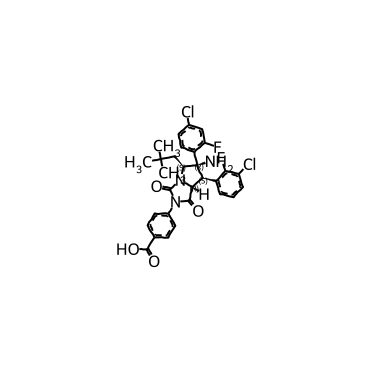 CC(C)(C)C[C@@H]1N2C(=O)N(c3ccc(C(=O)O)cc3)C(=O)[C@H]2[C@H](c2cccc(Cl)c2F)[C@@]1(N)c1ccc(Cl)cc1F